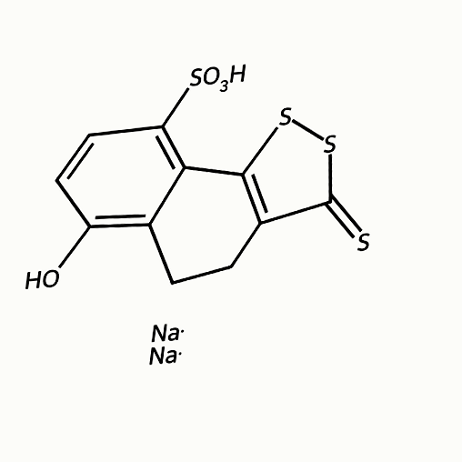 O=S(=O)(O)c1ccc(O)c2c1-c1ssc(=S)c1CC2.[Na].[Na]